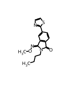 CCCCN1C(=O)c2ccc(-c3nccs3)cc2C1=NOC